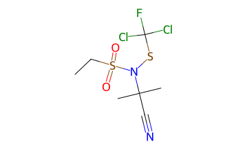 CCS(=O)(=O)N(SC(F)(Cl)Cl)C(C)(C)C#N